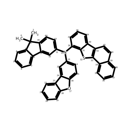 CC1(C)c2ccccc2-c2cc(N(c3ccc4oc5ccccc5c4c3)c3cccc4c3sc3c5ccccc5ccc43)ccc21